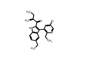 C=C(CC)C(=O)c1[nH]c2ccc(CC)cc2c1-c1cc(Cl)cnc1CC